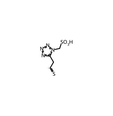 O=S(=O)(O)Cn1nnnc1C[C]=S